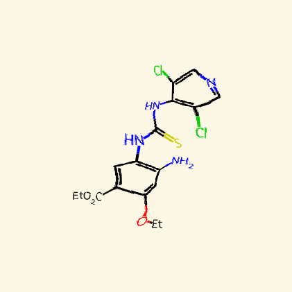 CCOC(=O)c1cc(NC(=S)Nc2c(Cl)cncc2Cl)c(N)cc1OCC